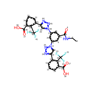 CCNC(=O)c1cc(-n2cc(-c3cccc(C(=O)O)c3C(F)(F)F)nn2)cc(-n2cc(-c3cccc(C(=O)O)c3C(F)(F)F)nn2)c1